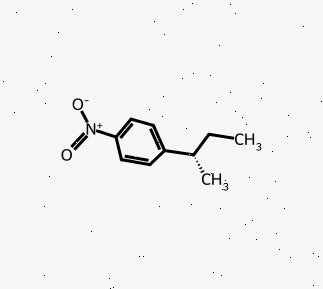 CC[C@H](C)c1ccc([N+](=O)[O-])cc1